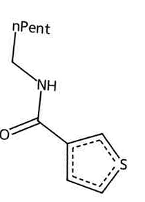 CCCCCCNC(=O)c1ccsc1